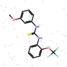 COc1cccc(NC(=S)Nc2ccccc2OC(F)(F)F)c1